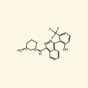 Oc1cccc(C(F)(F)F)c1-c1nnc(N[C@@H]2CCC[C@H](O)C2)c2cnccc12